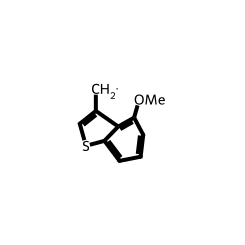 [CH2]c1csc2cccc(OC)c12